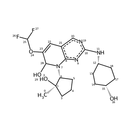 C[C@@]1(O)CCC[C@H]1N1c2nc(N[C@H]3CC[C@@H](O)CC3)ncc2C=C(OC(F)F)C1O